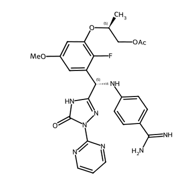 COc1cc(O[C@@H](C)COC(C)=O)c(F)c([C@H](Nc2ccc(C(=N)N)cc2)c2nn(-c3ncccn3)c(=O)[nH]2)c1